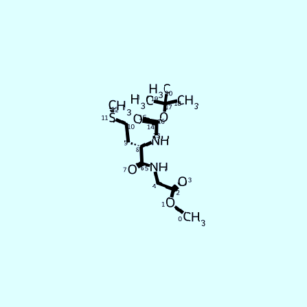 COC(=O)CNC(=O)[C@H](CCSC)NC(=O)OC(C)(C)C